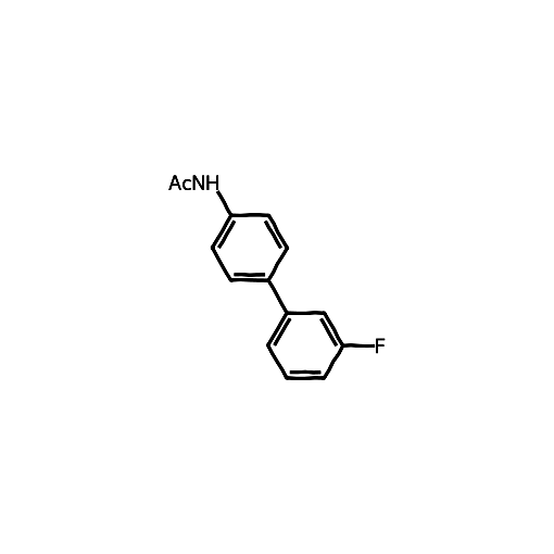 CC(=O)Nc1ccc(-c2cccc(F)c2)cc1